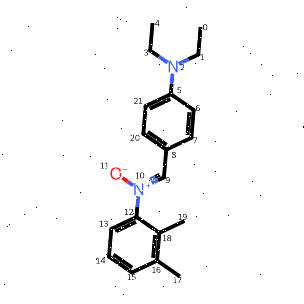 CCN(CC)c1ccc(C=[N+]([O-])c2cccc(C)c2C)cc1